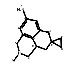 CN1Cc2cc(N)cc3c2C(C1)CC1(CC1)C3